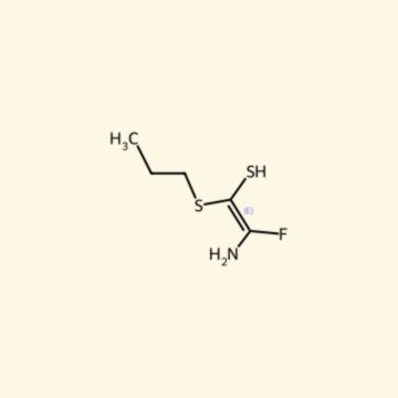 CCCS/C(S)=C(\N)F